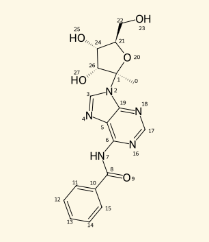 C[C@@]1(n2cnc3c(NC(=O)c4ccccc4)ncnc32)O[C@H](CO)[C@@H](O)[C@H]1O